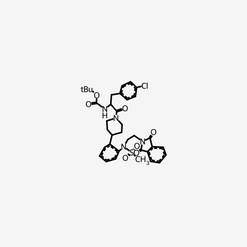 CC(C)(C)OC(=O)NC(Cc1ccc(Cl)cc1)C(=O)N1CCC(c2ccccc2N(CCN2C(=O)c3ccccc3C2=O)S(C)(=O)=O)CC1